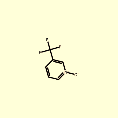 [O-][n+]1cc[c]c(C(F)(F)F)c1